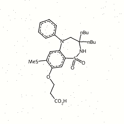 CCCCC1(CCCC)CN(c2ccccc2)c2cc(SC)c(OCCC(=O)O)cc2S(=O)(=O)N1